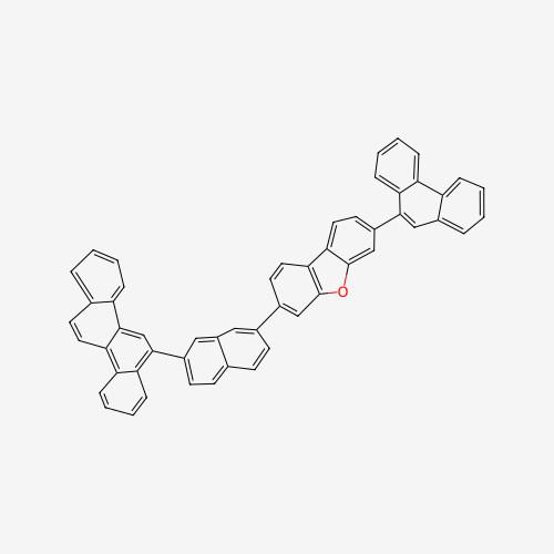 c1ccc2c(c1)cc(-c1ccc3c(c1)oc1cc(-c4ccc5ccc(-c6cc7c8ccccc8ccc7c7ccccc67)cc5c4)ccc13)c1ccccc12